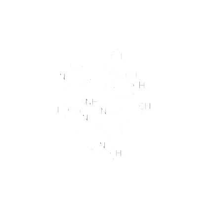 C=C(Nc1cccnc1)N1CCCN(C)c2ccc(C(S/C(C)=C/C)=C(C)C)nc21